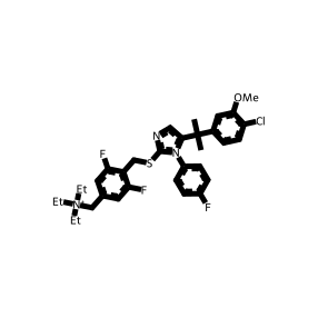 CC[N+](CC)(CC)Cc1cc(F)c(CSc2ncc(C(C)(C)c3ccc(Cl)c(OC)c3)n2-c2ccc(F)cc2)c(F)c1